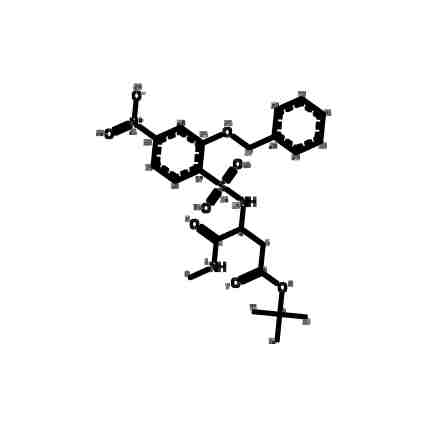 CNC(=O)C(CC(=O)OC(C)(C)C)NS(=O)(=O)c1ccc([N+](=O)[O-])cc1OCc1ccccc1